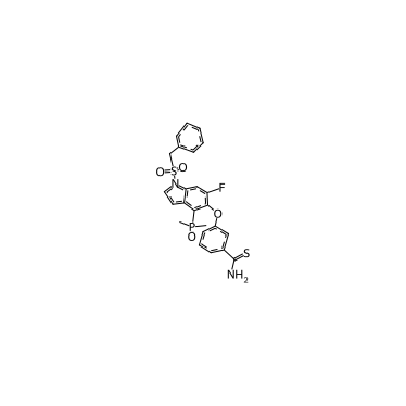 CP(C)(=O)c1c(Oc2cccc(C(N)=S)c2)c(F)cc2c1ccn2S(=O)(=O)Cc1ccccc1